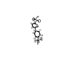 CS(=O)(=O)c1ccc(-c2ccc(C(F)(F)F)cc2)s1